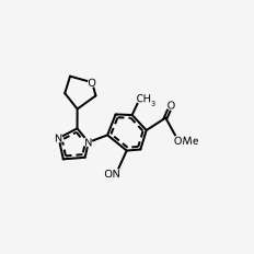 COC(=O)c1cc(N=O)c(-n2ccnc2C2CCOC2)cc1C